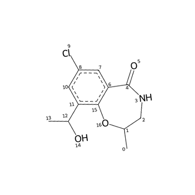 CC1CNC(=O)c2cc(Cl)cc(C(C)O)c2O1